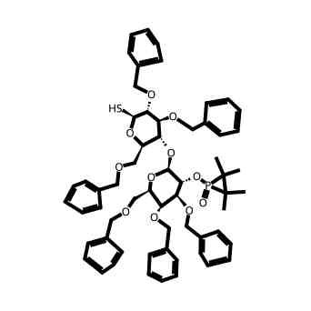 CC1(C)C(C)(C)P1(=O)O[C@H]1[C@H](O[C@H]2[C@H](OCc3ccccc3)[C@@H](OCc3ccccc3)[C@H](S)O[C@@H]2COCc2ccccc2)O[C@H](COCc2ccccc2)[C@@H](OCc2ccccc2)[C@@H]1OCc1ccccc1